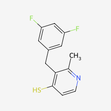 Cc1nccc(S)c1Cc1cc(F)cc(F)c1